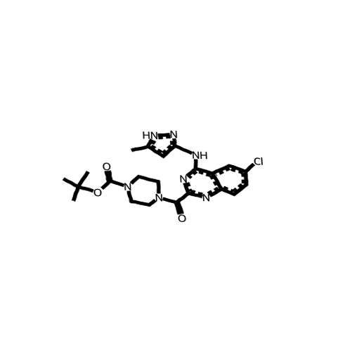 Cc1cc(Nc2nc(C(=O)N3CCN(C(=O)OC(C)(C)C)CC3)nc3ccc(Cl)cc23)n[nH]1